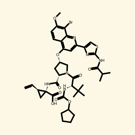 C=C[C@@H]1C[C@]1(NC(=O)[C@@H]1C[C@H](Oc2cc(-c3csc(NC(=O)C(C)C)n3)nc3c(Br)c(OC)ccc23)CN1C(=O)[C@@H](NC(=O)OC1CCCC1)C(C)(C)C)C(=O)O